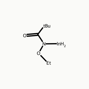 CCO[N]([InH2])C(=O)C(C)(C)C